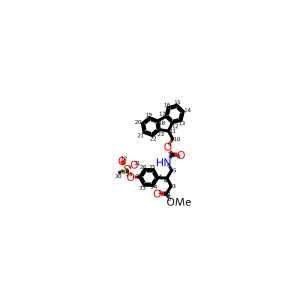 COC(=O)CC(CNC(=O)OCC1c2ccccc2-c2ccccc21)c1ccc(OS(C)(=O)=O)cc1